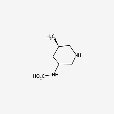 C[C@H]1CNCC(NC(=O)O)C1